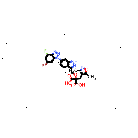 Cc1noc(C)c1CC(OCc1n[nH]c2cc(-n3nnc4c(F)cc(Br)cc43)ccc12)(C(=O)O)C(=O)O